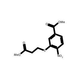 COC(=O)CCSc1cc(C(=O)OC)ccc1[N+](=O)[O-]